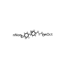 CCCCCCCCCOc1ccc(-c2ccc(CCCOCCCCCCCC)cn2)cc1